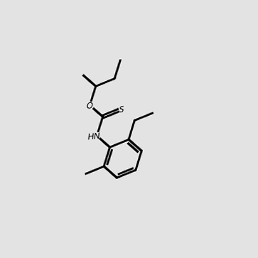 CCc1cccc(C)c1NC(=S)OC(C)CC